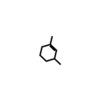 CC1=CC(C)CCC1